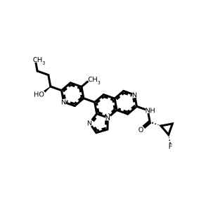 CCC[C@H](O)c1cc(C)c(-c2cc3cnc(NC(=O)[C@@H]4C[C@@H]4F)cc3n3ccnc23)cn1